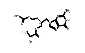 CCCC(=O)OCC[C@@H](COC(=O)[C@@H](N)C(C)C)Cn1cnc2c(=O)[nH]c(N)nc21